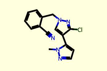 Cn1nccc1-c1cn(Cc2ccccc2C#N)nc1Cl